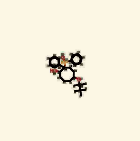 CC(C)(C)[Si](C)(C)OC1CCCC(O)[C@](c2ccccc2)([PH](=O)c2ccccc2)CC1